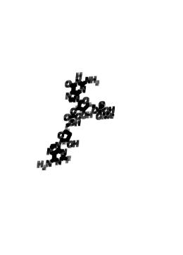 COP(=O)(O)OC[C@H]1O[C@@H](n2cnc3c(=O)[nH]c(N)nc32)[C@H](OP(=O)(O)OC[C@@H]2C[C@@H](O)[C@H](n3cnc4c(N)nc(F)nc43)O2)[C@@H]1O